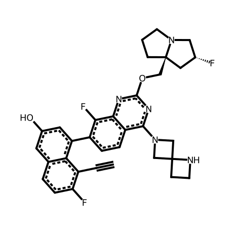 C#Cc1c(F)ccc2cc(O)cc(-c3ccc4c(N5CC6(CCN6)C5)nc(OC[C@@]56CCCN5C[C@H](F)C6)nc4c3F)c12